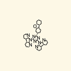 c1ccc2c(c1)oc1cc(-c3nc(-n4c5ncccc5c5cccnc54)nc(-n4c5ncccc5c5cccnc54)n3)ccc12